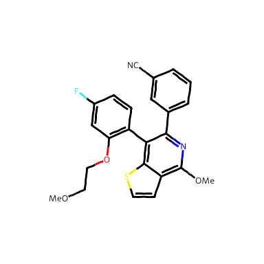 COCCOc1cc(F)ccc1-c1c(-c2cccc(C#N)c2)nc(OC)c2ccsc12